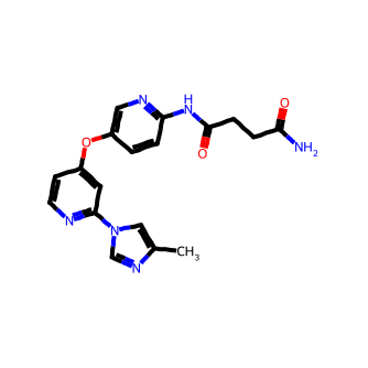 Cc1cn(-c2cc(Oc3ccc(NC(=O)CCC(N)=O)nc3)ccn2)cn1